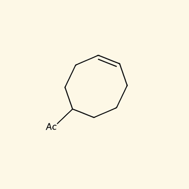 CC(=O)C1CC/C=C\CCC1